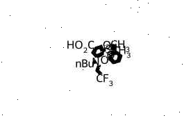 CCCCN(CCCC(F)(F)F)c1cc(C(=O)O)cc(S(=O)(=O)N(C)C)c1Oc1ccccc1